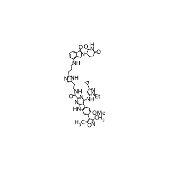 CCn1nc(C2CC2)cc1Nc1nc(C(=O)NCCc2cnc(CCCNc3cccc4c3CN(C3CCC(=O)NC3=O)C4=O)[nH]2)nc2[nH]c3cc(-c4c(C)noc4C)c(OC)cc3c12